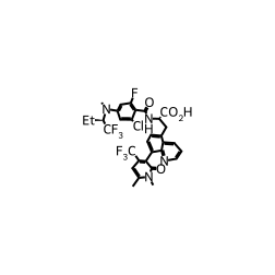 CC[C@@H](N(C)c1cc(F)c(C(=O)N[C@@H](Cc2ccc(-c3c(C(F)(F)F)cc(C)n(C)c3=O)c3ncccc23)C(=O)O)c(Cl)c1)C(F)(F)F